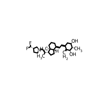 C=C1/C(=C\C=C2/CCC[C@]3(C)[C@@H](C(C)CN4CC[C@H](C(F)F)C4)CC[C@@H]23)C[C@@H](O)[C@H](C)[C@@H]1O